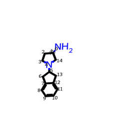 N[C@@H]1CCN(C2Cc3ccccc3C2)C1